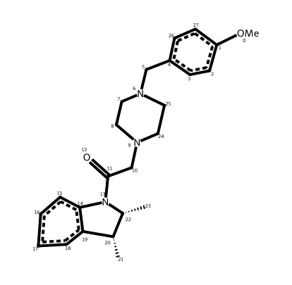 COc1ccc(CN2CCN(CC(=O)N3c4ccccc4[C@@H](C)[C@H]3C)CC2)cc1